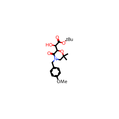 COc1ccc(CN2CC(C)(C)OC(C(O)C(=O)OC(C)(C)C)C2=O)cc1